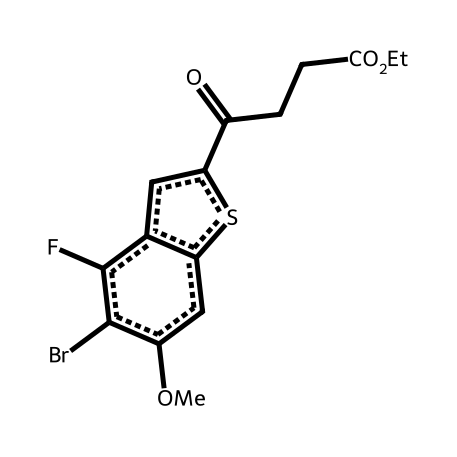 CCOC(=O)CCC(=O)c1cc2c(F)c(Br)c(OC)cc2s1